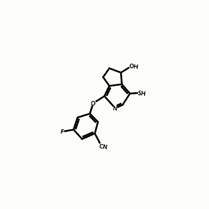 N#Cc1cc(F)cc(Oc2ncc(S)c3c2CCC3O)c1